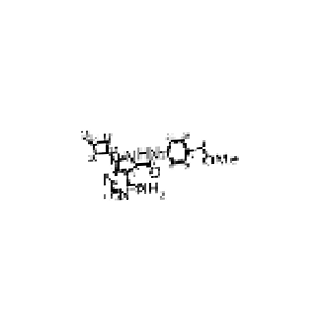 COCc1ccc(NC(=O)c2nn(C3CC(C)C3)c3ncnc(N)c23)cc1